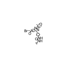 CC1COCCN1c1nc2c(c(-c3ccc(NC(=O)NC4CC4)cc3)n1)CN(C(=O)CBr)C2